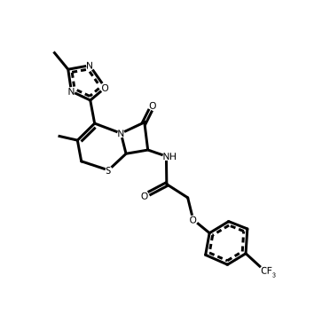 CC1=C(c2nc(C)no2)N2C(=O)C(NC(=O)COc3ccc(C(F)(F)F)cc3)C2SC1